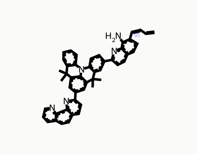 C=C/C=C\c1ccc2ccc(-c3ccc4c(c3)C(C)(C)c3cc(-c5ccc6ccc7cccnc7c6n5)cc5c3N4c3ccccc3C5(C)C)nc2c1N